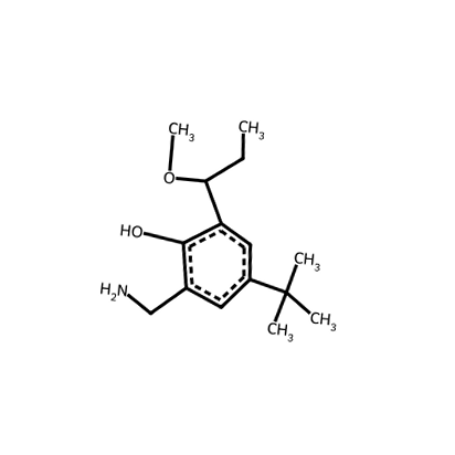 CCC(OC)c1cc(C(C)(C)C)cc(CN)c1O